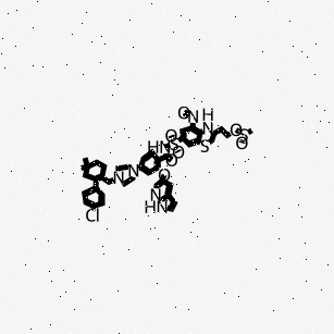 CS(=O)OCCC1CSc2cc(S(=O)(=O)NC(=O)c3ccc(N4CCN(CC5=C(c6ccc(Cl)cc6)CC(C)(C)CC5)CC4)cc3Oc3cnc4[nH]ccc4c3)cc(N=O)c2N1